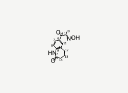 CC(=NO)C(=O)c1ccc2c(c1)CCCC(=O)N2